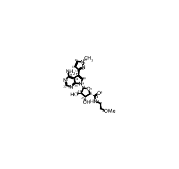 COCCNC(=O)[C@H]1O[C@@H](n2cc(-c3ccn(C)n3)c3c(N)ncnc32)[C@H](O)[C@@H]1O